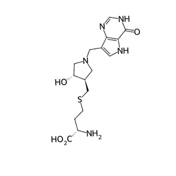 N[C@@H](CCSC[C@@H]1CN(Cc2c[nH]c3c(=O)[nH]cnc23)C[C@H]1O)C(=O)O